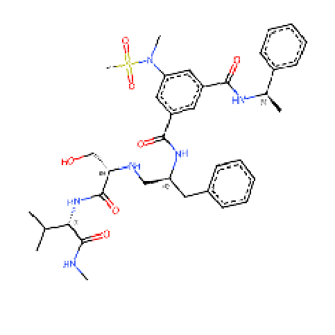 CNC(=O)[C@@H](NC(=O)[C@H](CO)NC[C@H](Cc1ccccc1)NC(=O)c1cc(C(=O)N[C@H](C)c2ccccc2)cc(N(C)S(C)(=O)=O)c1)C(C)C